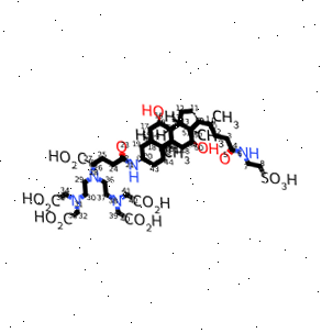 C[C@H](CCC(=O)NCCS(=O)(=O)O)[C@H]1CC[C@H]2[C@@H]3[C@H](O)C[C@@H]4C[C@@H](NC(=O)CC[C@@H](C(=O)O)N(CCN(CC(=O)O)CC(=O)O)CCN(CC(=O)O)CC(=O)O)CC[C@]4(C)[C@H]3C[C@H](O)[C@]12C